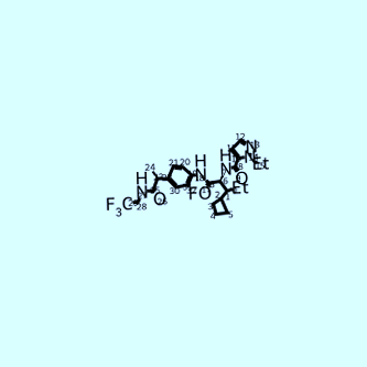 CCC(C1CCC1)[C@H](NC(=O)c1ccnn1CC)C(=O)Nc1ccc([C@H](C)C(=O)NCC(F)(F)F)cc1F